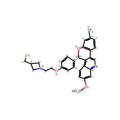 O=S(=O)(O)Oc1ccc2c3c(cnc2c1)-c1ccc(C(F)(F)F)cc1O[C@H]3c1ccc(OCCN2CC(CF)C2)cc1